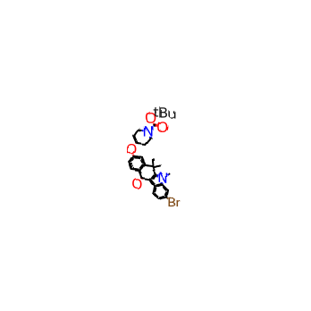 Cn1c2c(c3ccc(Br)cc31)C(=O)c1ccc(OC3CCN(C(=O)OC(C)(C)C)CC3)cc1C2(C)C